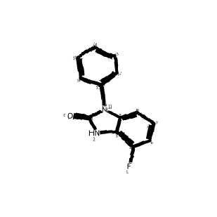 O=c1[nH]c2c(F)cccc2n1-c1ccccc1